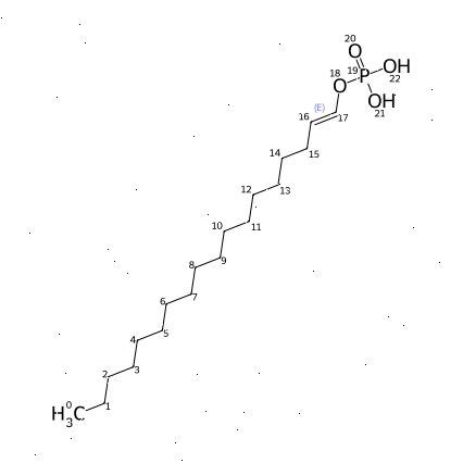 CCCCCCCCCCCCCCCC/C=C/OP(=O)(O)O